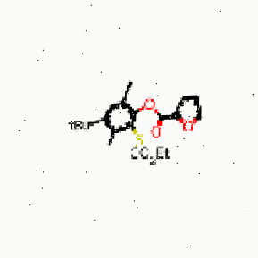 CCOC(=O)Sc1c(C)c(C(C)(C)C)cc(C)c1OC(=O)c1ccco1